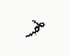 CCCCCCC(=O)c1ccc(C2(CCCCC)CCCCC2)cc1